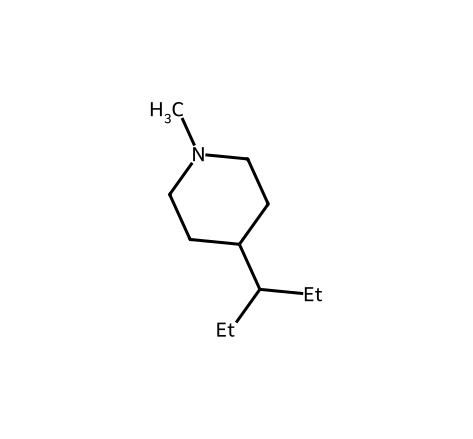 CCC(CC)C1CCN(C)CC1